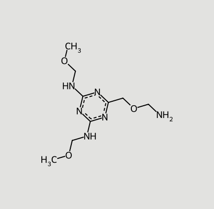 COCNc1nc(COCN)nc(NCOC)n1